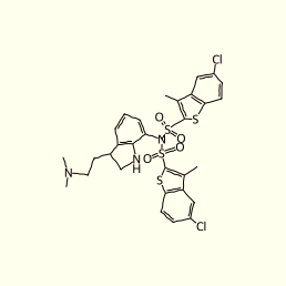 Cc1c(S(=O)(=O)N(c2cccc3c2NCC3CCN(C)C)S(=O)(=O)c2sc3ccc(Cl)cc3c2C)sc2ccc(Cl)cc12